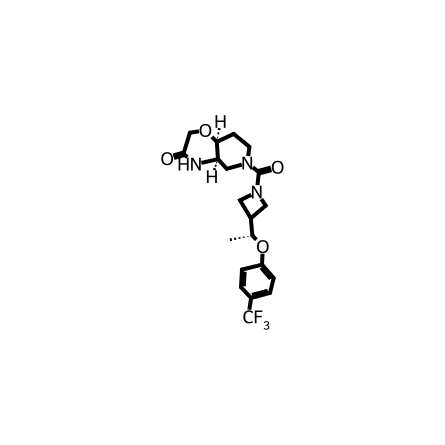 C[C@@H](Oc1ccc(C(F)(F)F)cc1)C1CN(C(=O)N2CC[C@@H]3OCC(=O)N[C@@H]3C2)C1